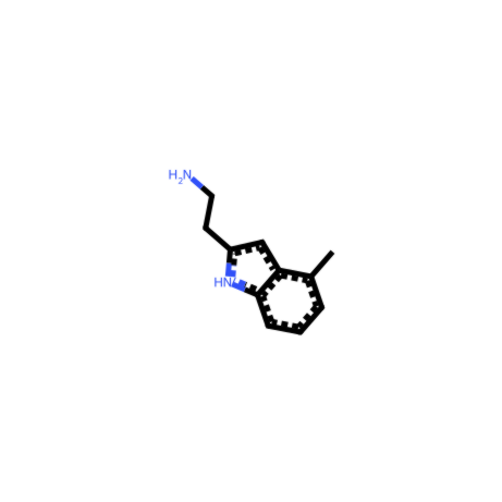 Cc1cccc2[nH]c(CCN)cc12